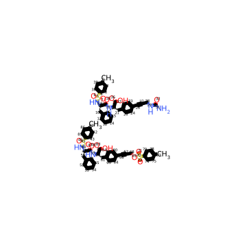 Cc1ccc(S(=O)(=O)N[C@@H](Cc2ccccc2)C(=O)N[C@@H](Cc2ccc(C#CCNC(N)=O)cc2)C(=O)O)cc1.Cc1ccc(S(=O)(=O)N[C@@H](Cc2ccccc2)C(=O)N[C@@H](Cc2ccc(C#CCOS(=O)(=O)c3ccc(C)cc3)cc2)C(=O)O)cc1